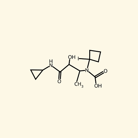 CC(C(O)C(=O)NC1CC1)N(C(=O)O)C1(I)CCC1